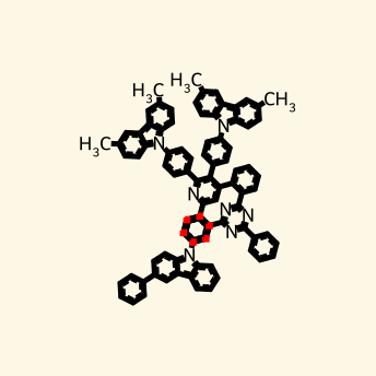 Cc1ccc2c(c1)c1cc(C)ccc1n2-c1ccc(-c2nc(-c3ccc(-n4c5ccccc5c5cc(-c6ccccc6)ccc54)cc3)cc(-c3ccccc3-c3nc(-c4ccccc4)nc(-c4ccccc4)n3)c2-c2ccc(-n3c4ccc(C)cc4c4cc(C)ccc43)cc2)cc1